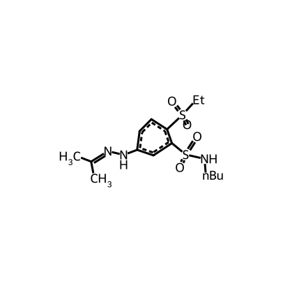 CCCCNS(=O)(=O)c1cc(NN=C(C)C)ccc1S(=O)(=O)CC